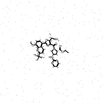 CCOC(=O)[C@@H]1C[C@@H](Nc2ncccn2)CN1C(=O)c1nc(-c2ccc(OC)c3nc(C(F)(F)F)ccc23)oc1[C@H](C)N